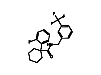 O=C(NCc1cccc(C(F)(F)F)c1)C1(c2ccccc2F)CCCCC1